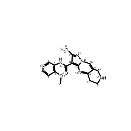 COc1ccncc1NC(=O)c1c(N)nn2cc3c(nc12)CCNC3